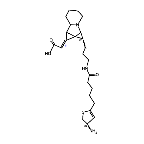 N[C@@H]1C=C(CCCCC(=O)NCCS[C@@H]2C3N4CCCCC4C4/C(=C\C(=O)O)C432)SC1